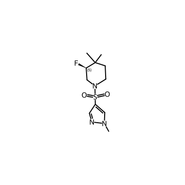 Cn1cc(S(=O)(=O)N2CCC(C)(C)[C@H](F)C2)cn1